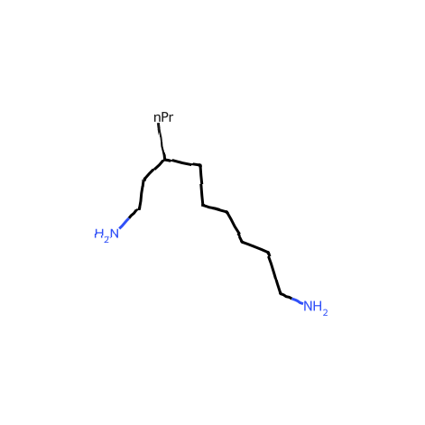 CCCC(CCN)CCCCCCN